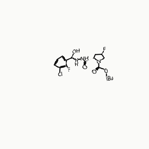 CC(C)(C)OC(=O)N1C[C@H](F)C[C@H]1C(=O)NNC(O)c1cccc(Cl)c1F